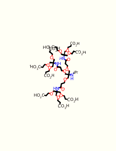 CC(C)NC(COCCC(=O)NC(COCCC(=O)O)(COCCC(=O)O)COCCC(=O)O)(COCCC(=O)NC(COCCC(=O)O)(COCCC(=O)O)COCCC(=O)O)COCCC(=O)NC(COCCC(=O)O)(COCCC(=O)O)COCCC(=O)O